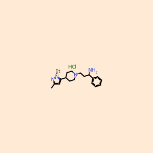 CCn1nc(C)cc1C1CCN(CCC(N)c2ccccc2)CC1.Cl